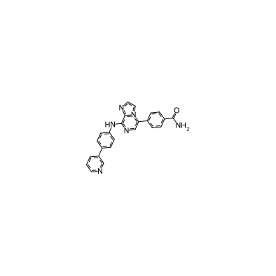 NC(=O)c1ccc(-c2cnc(Nc3ccc(-c4cccnc4)cc3)c3nccn23)cc1